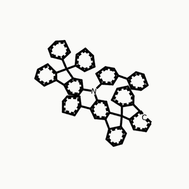 c1ccc(-c2cccc(N(c3ccc4c(c3)C(c3ccccc3)(c3ccccc3)c3ccccc3-4)c3cc4c(cc3-c3ccccc3)-c3ccccc3C43c4ccccc4-c4ccccc43)c2)cc1